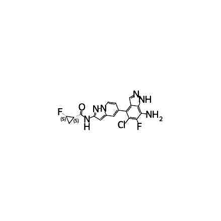 Nc1c(F)c(Cl)c(-c2ccn3nc(NC(=O)[C@@H]4C[C@@H]4F)cc3c2)c2cn[nH]c12